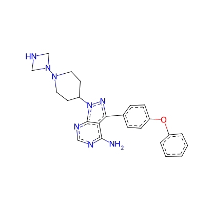 Nc1ncnc2c1c(-c1ccc(Oc3ccccc3)cc1)nn2C1CCN(N2CNC2)CC1